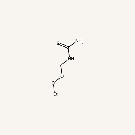 CCOOCNC(N)=S